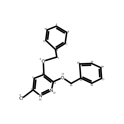 Clc1cc(OCc2ccccc2)c(OCc2ccccc2)nn1